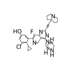 Oc1cc(Cl)c(C2CC2)c(-c2ncc3c(N4C[C@@H]5C[C@H]4CN5)nc(C#CC45CCCN4CCC5)nc3c2F)c1